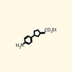 CCOC(=O)/C=C1\CCC(c2ccc(N)cc2)C1